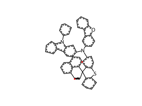 c1ccc(-n2c3ccccc3c3ccc(N(c4ccc5c(c4)C4(c6ccccc6S5)c5ccccc5-c5cccc6cccc4c56)c4ccc5oc6ccccc6c5c4)cc32)cc1